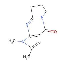 Cc1cc2c(=O)n3c(nc2n1C)CCC3